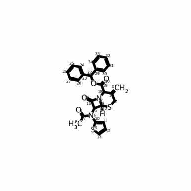 C=C1CS[C@@H]2C(N(C(C)=O)c3cccs3)C(=O)N2C1C(=O)OC(c1ccccc1)c1ccccc1